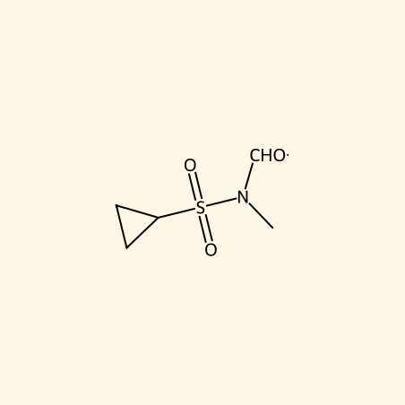 CN([C]=O)S(=O)(=O)C1CC1